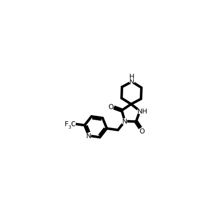 O=C1NC2(CCNCC2)C(=O)N1Cc1ccc(C(F)(F)F)nc1